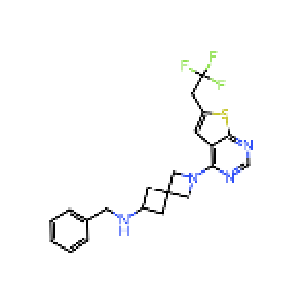 FC(F)(F)Cc1cc2c(N3CC4(CC(NCc5ccccc5)C4)C3)ncnc2s1